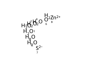 O.O.O.O.O.O.O.[S-2].[Zn+2]